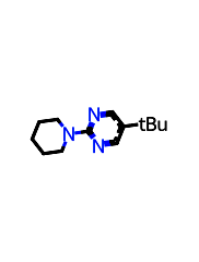 CC(C)(C)c1cnc(N2CCCCC2)nc1